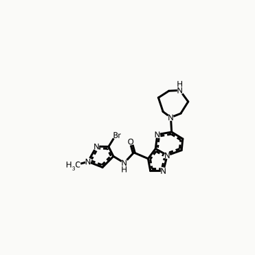 Cn1cc(NC(=O)c2cnn3ccc(N4CCCNCC4)nc23)c(Br)n1